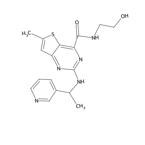 Cc1cc2nc(NC(C)c3cccnc3)nc(C(=O)NCCO)c2s1